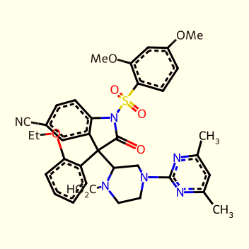 CCOc1ccccc1C1(C2CN(c3nc(C)cc(C)n3)CCN2C(=O)O)C(=O)N(S(=O)(=O)c2ccc(OC)cc2OC)c2ccc(C#N)cc21